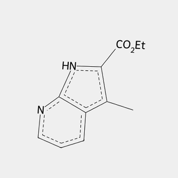 CCOC(=O)c1[nH]c2ncccc2c1C